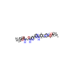 CC(C)(C)OC(=O)CN1CCN(Cc2cccc(Nc3nccc(-c4ccc(NC(=O)CCNC(=O)OC(C)(C)C)nc4)n3)c2)CC1